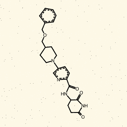 O=C1CCC(NC(=O)c2ccc(N3CCC(COCc4ccccc4)CC3)cn2)C(=O)N1